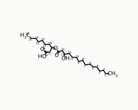 CCCCCCCCCCCCCC(O)CC(=O)OC(CCCCCCC)CC(=O)O